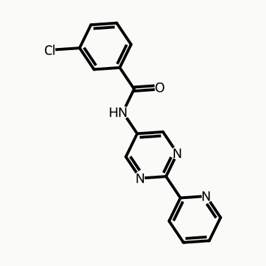 O=C(Nc1cnc(-c2ccccn2)nc1)c1cccc(Cl)c1